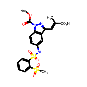 C/C(=C\c1nn(C(=O)OC(C)(C)C)c2ccc(NS(=O)(=O)c3ccccc3S(C)(=O)=O)cc12)C(=O)O